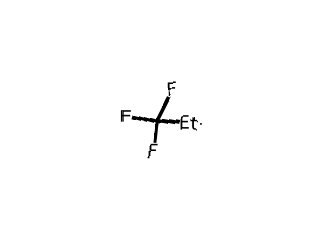 C[CH]C(F)(F)F